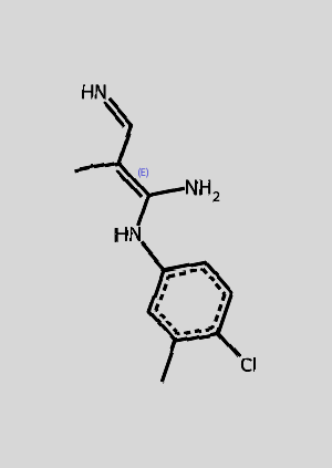 C/C(C=N)=C(/N)Nc1ccc(Cl)c(C)c1